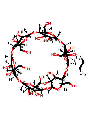 OC[C@H]1O[C@@H]2O[C@H]3[C@H](O)[C@@H](O)[C@@H](O[C@H]4[C@H](O)[C@@H](O)[C@@H](O[C@H]5[C@H](O)[C@@H](O)[C@@H](O[C@H]6[C@H](O)[C@@H](O)[C@@H](O[C@H]7[C@H](O)[C@@H](O)[C@@H](O[C@H]1[C@H](O)[C@H]2O)O[C@@H]7CO)O[C@@H]6CO)O[C@@H]5CO)O[C@@H]4CO)O[C@@H]3CO.[CH2]CCC